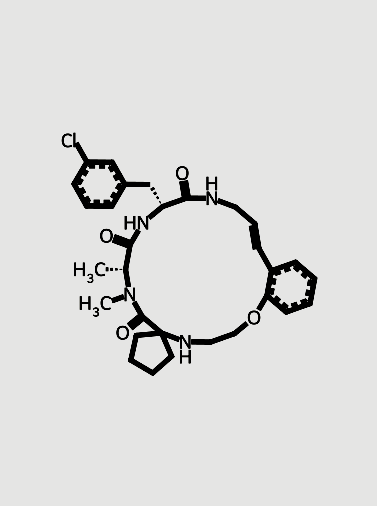 C[C@@H]1C(=O)N[C@H](Cc2cccc(Cl)c2)C(=O)NC/C=C/c2ccccc2OCCNC2(CCCC2)C(=O)N1C